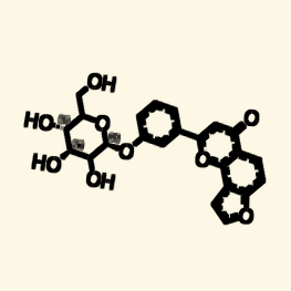 O=c1cc(-c2cccc(O[C@@H]3OC(CO)[C@@H](O)[C@H](O)C3O)c2)oc2c1ccc1occc12